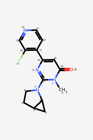 Cn1c(N2CCC3CC32)nc(-c2ccncc2F)cc1=O